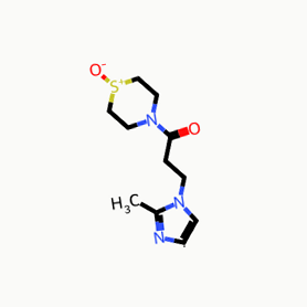 Cc1n[c]cn1CCC(=O)N1CC[S+]([O-])CC1